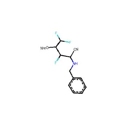 COC(C(F)F)C(F)C(C#N)NCc1ccccc1